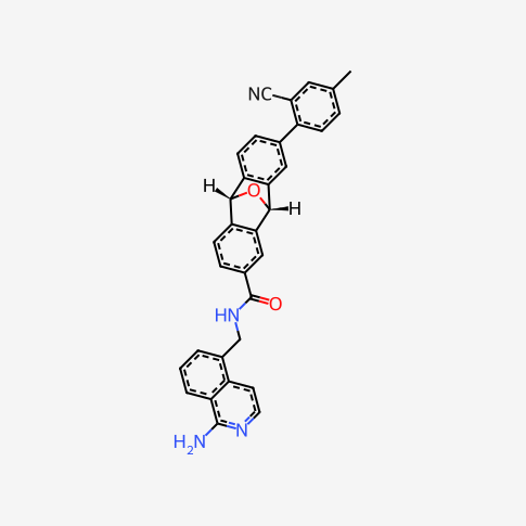 Cc1ccc(-c2ccc3c(c2)[C@H]2O[C@@H]3c3ccc(C(=O)NCc4cccc5c(N)nccc45)cc32)c(C#N)c1